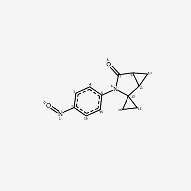 O=Nc1ccc(N2C(=O)C3CC3C23CC3)cc1